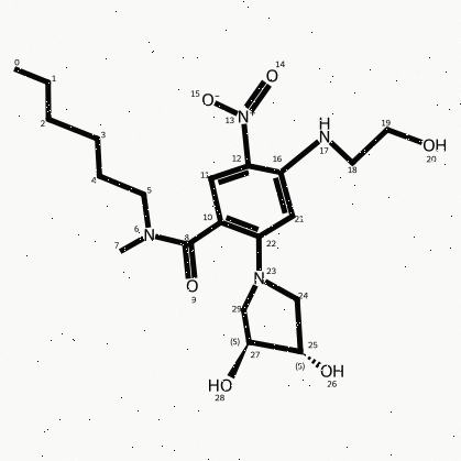 CCCCCCN(C)C(=O)c1cc([N+](=O)[O-])c(NCCO)cc1N1C[C@H](O)[C@@H](O)C1